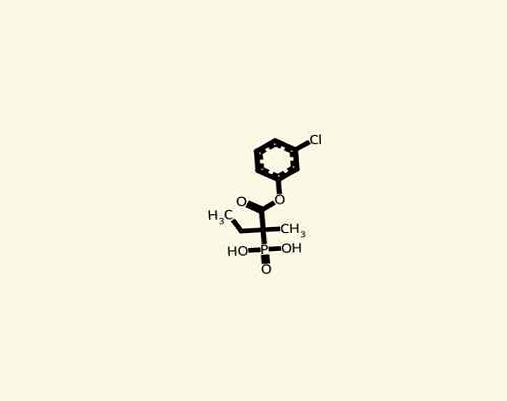 CCC(C)(C(=O)Oc1cccc(Cl)c1)P(=O)(O)O